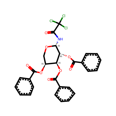 O=C(O[C@@H]1[C@@H](OC(=O)c2ccccc2)[C@@H](NC(=O)C(Cl)(Cl)Cl)OC[C@@H]1OC(=O)c1ccccc1)c1ccccc1